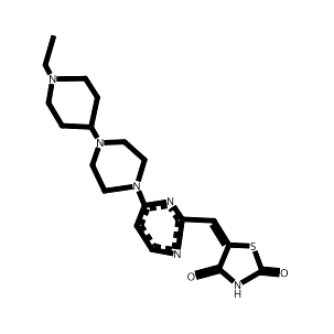 CCN1CCC(N2CCN(c3ccnc(C=C4SC(=O)NC4=O)n3)CC2)CC1